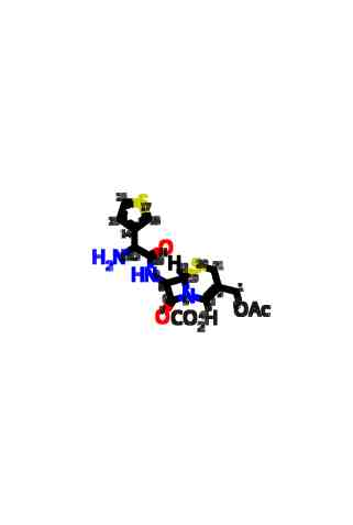 CC(=O)OCC1=C(C(=O)O)N2C(=O)C(NC(=O)C(N)c3ccsc3)[C@@H]2SC1